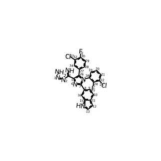 N=C(/N=N\N)c1nc(-c2ccc3cc[nH]c3c2)n(-c2cccc(Cl)c2F)c1-c1ccc(F)c(Cl)c1